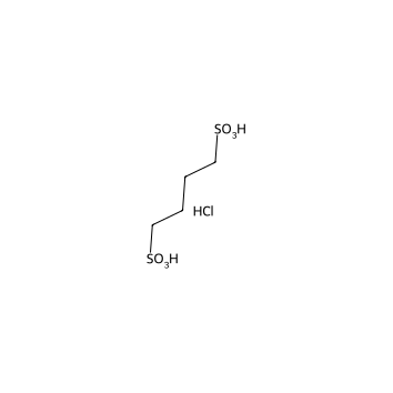 Cl.O=S(=O)(O)CCCCS(=O)(=O)O